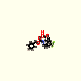 O=C(O)[C@@H]1[C@H]2CC(F)(F)C[C@H]2CN1C(=O)OCc1ccccc1